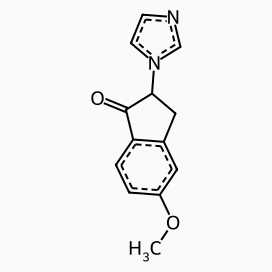 COc1ccc2c(c1)CC(n1ccnc1)C2=O